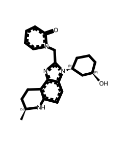 C[C@H]1CCc2c(ccc3c2nc(Cn2ccccc2=O)n3[C@@H]2CCC[C@@H](O)C2)N1